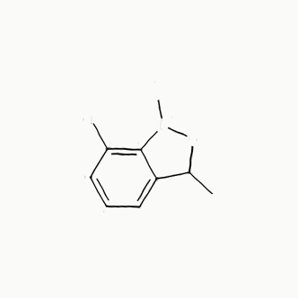 CC1OB(O)c2c(Cl)cccc21